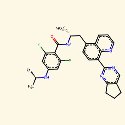 CC[C@@H](Nc1cc(F)c(C(=O)N[C@@H](Cc2ccc(-c3ncc4c(n3)CCC4)c3ncccc23)C(=O)O)c(F)c1)C(F)(F)F